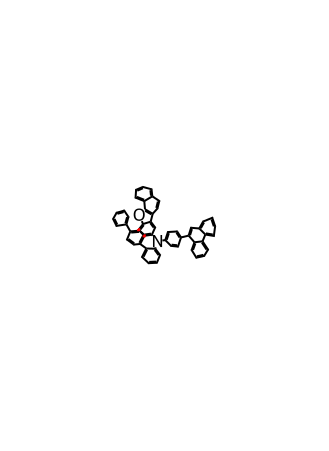 c1ccc(-c2ccc(-c3ccccc3N(c3ccc(-c4cc5ccccc5c5ccccc45)cc3)c3ccc4oc5c6ccccc6ccc5c4c3)cc2)cc1